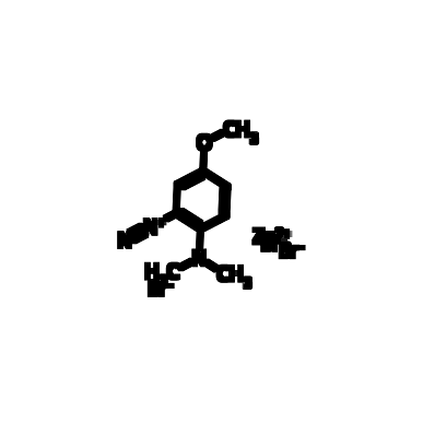 COc1ccc(N(C)C)c([N+]#N)c1.[Br-].[Br-].[Br-].[Zn+2]